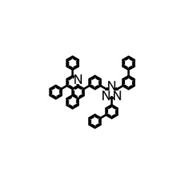 c1ccc(-c2cccc(-c3nc(-c4cccc(-c5ccccc5)c4)nc(-c4cccc(-c5cc6ccccc6c6c(-c7ccccc7)cc(-c7ccccc7)nc56)c4)n3)c2)cc1